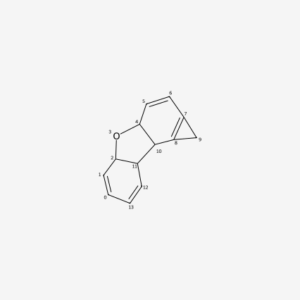 C1=CC2OC3C=CC4=C(C4)C3C2C=C1